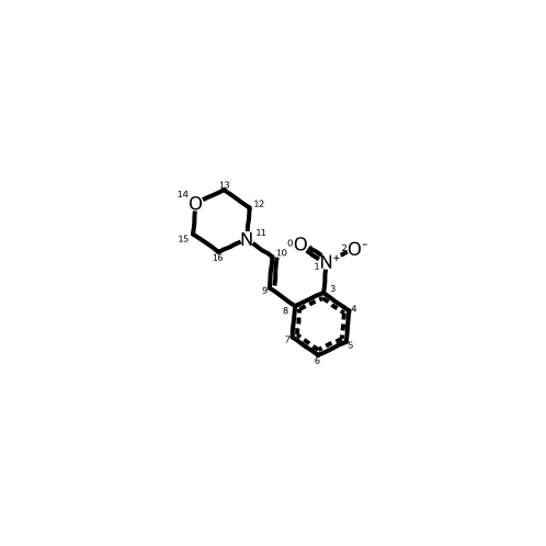 O=[N+]([O-])c1ccccc1C=CN1CCOCC1